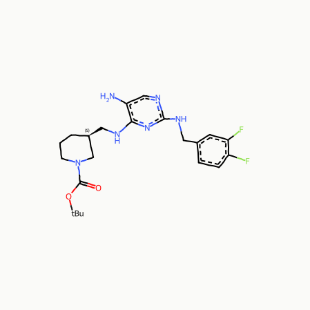 CC(C)(C)OC(=O)N1CCC[C@@H](CNc2nc(NCc3ccc(F)c(F)c3)ncc2N)C1